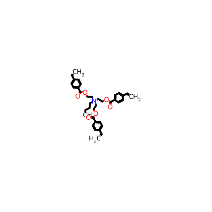 C=Cc1ccc(C(=O)OCC[N+](CCCC)(CCOC(=O)c2ccc(C=C)cc2)CCOC(=O)c2ccc(C=C)cc2)cc1